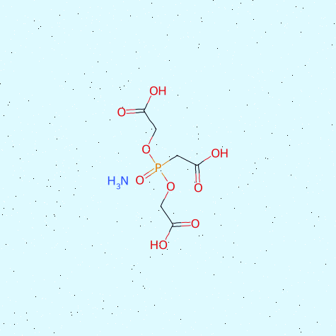 N.O=C(O)COP(=O)(CC(=O)O)OCC(=O)O